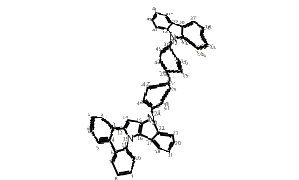 c1ccc2c(c1)c1ccccc1n1c2cc2c1c1ccccc1n2-c1ccc(-c2ccc(-n3c4ccccc4c4ccccc43)cc2)cc1